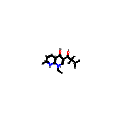 CCn1cc(C(=O)C(C)(C)C(C)C)c(=O)c2ccc(C)nc21